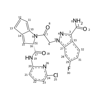 NC(=O)c1nn(CC(=O)N2C3=CC=CC3=C[C@H]2C(=O)Nc2cccc(Cl)n2)c2cc(F)ccc12